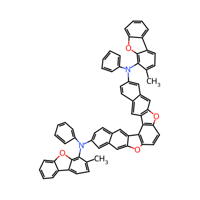 Cc1ccc2c(oc3ccccc32)c1N(c1ccccc1)c1ccc2cc3c(cc2c1)oc1ccc2oc4cc5cc(N(c6ccccc6)c6c(C)ccc7c6oc6ccccc67)ccc5cc4c2c13